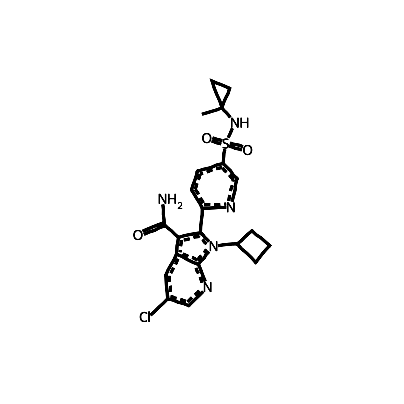 CC1(NS(=O)(=O)c2ccc(-c3c(C(N)=O)c4cc(Cl)cnc4n3C3CCC3)nc2)CC1